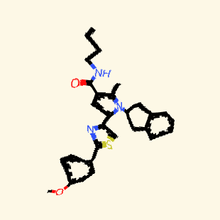 CCCCNC(=O)c1cc(-c2csc(-c3ccc(OC)cc3)n2)n(C2Cc3ccccc3C2)c1C